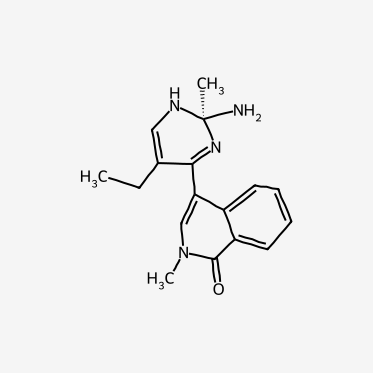 CCC1=CN[C@@](C)(N)N=C1c1cn(C)c(=O)c2ccccc12